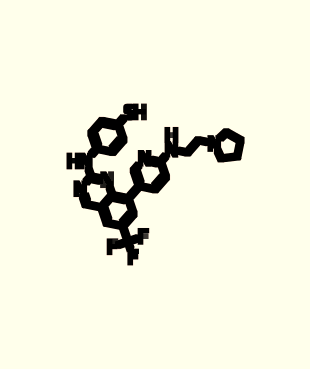 FC(F)(F)c1cc(-c2ccc(NCCN3CCCC3)nc2)c2nc(Nc3ccc(S)cc3)ncc2c1